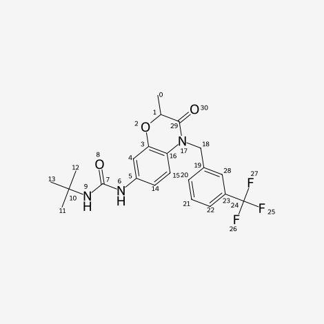 CC1Oc2cc(NC(=O)NC(C)(C)C)ccc2N(Cc2cccc(C(F)(F)F)c2)C1=O